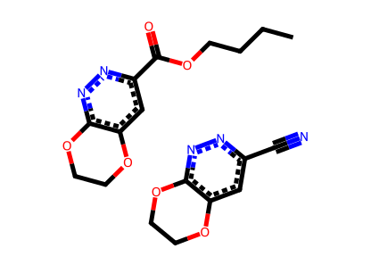 CCCCOC(=O)c1cc2c(nn1)OCCO2.N#Cc1cc2c(nn1)OCCO2